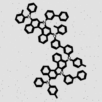 Cc1ccc(N(c2ccccc2)c2cc3c(c4ccccc24)c2c4ccccc4c(N(c4ccc(C)cc4)c4cccc(-c5cccc(N(c6ccccc6C)c6cc7c(c8ccccc68)c6c8ccccc8c(N(c8ccccc8)c8ccccc8C)cc6n7-c6cccc(-c7ccccc7)c6)c5)c4)cc2n3-c2cccc(-c3ccccc3)c2)cc1